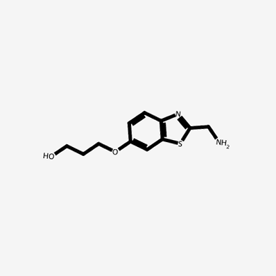 NCc1nc2ccc(OCCCO)cc2s1